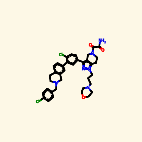 NC(=O)C(=O)N1CCc2c(c(-c3ccc(Cl)c(-c4ccc5c(c4)CN(Cc4ccc(Cl)cc4)CC5)c3)nn2CCCN2CCOCC2)C1